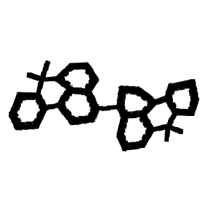 CC1(C)c2ccccc2-c2ccc(-c3ccc4c5c(cccc35)C(C)(C)c3ccccc3-4)c3cccc1c23